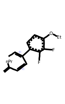 C=C(/C=C\C(=C/C)c1ccc(OCC)c(F)c1F)CCC